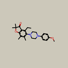 CCc1c2c(c(C)c(C)c1N1CCN(c3ccc(OC)cc3)CC1)OC(C)(C)C2=O